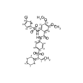 C=CC(N1CCSCC1)S(=O)(=O)c1ccc(NC(=O)c2cc(OC)c(OC)cc2NS(=O)(=O)c2ccc(Cl)s2)cc1